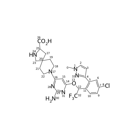 Cn1ccc(-c2cc(Cl)ccc2C(Oc2cc(N3CCC4(CC3)CNC(C(=O)O)C4)nc(N)n2)C(F)(F)F)n1